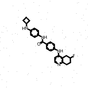 O=C(Nc1ccc(NC2CCC2)cc1)c1ccc(Nc2ccnc3c2CC(F)CC3)cc1